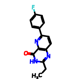 CCc1nc2ccc(-c3ccc(F)cc3)nc2c(=O)[nH]1